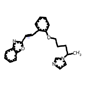 CC(CCCOc1ccccc1/C=C/c1nc2ccccc2o1)n1ccnc1